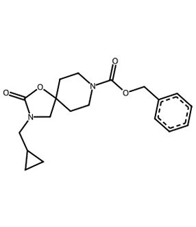 O=C(OCc1ccccc1)N1CCC2(CC1)CN(CC1CC1)C(=O)O2